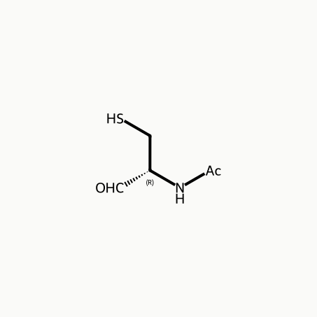 CC(=O)N[C@H](C=O)CS